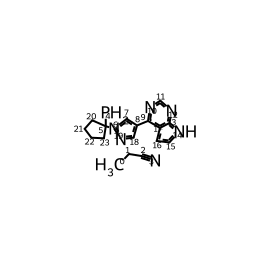 CCC#N.PC1(n2cc(-c3ncnc4[nH]ccc34)cn2)CCCC1